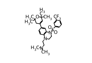 CN(C)CCN1CCN(S(=O)(=O)c2cccc(C(F)(F)F)c2)c2cc(C3=CC(C)(C)OC(C)(C)C3)ccc21